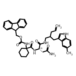 C=CCC(CNC(=O)[C@H](CC(N)=O)NC(=O)C1(NC(=O)OCC2c3ccccc3-c3ccccc32)CCCCC1)Cc1c[nH]c2ccc(C)cc12